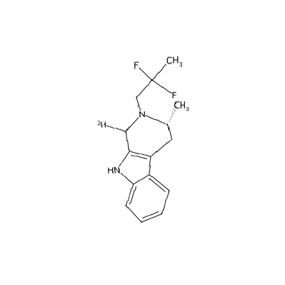 [2H]C1c2[nH]c3ccccc3c2C[C@@H](C)N1CC(C)(F)F